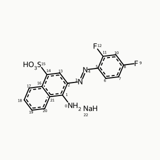 Nc1c(N=Nc2ccc(F)cc2F)cc(S(=O)(=O)O)c2ccccc12.[NaH]